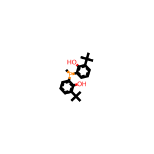 CP(c1cccc(C(C)(C)C)c1O)c1cccc(C(C)(C)C)c1O